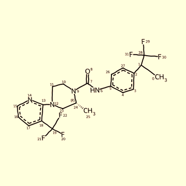 CC(c1ccc(NC(=O)N2CCN(c3ncccc3C(F)(F)F)C[C@H]2C)cc1)C(F)(F)F